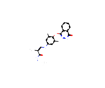 CCOC(=O)NC(=O)/C(C#N)=C\Nc1cc(C)c(Oc2n[nH]c(=O)c3ccccc23)c(C)c1